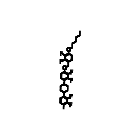 CCCCCCOc1ccc(COc2ccc(C3CCC(c4ccc(C)c(F)c4F)CC3)c(F)c2F)c(F)c1F